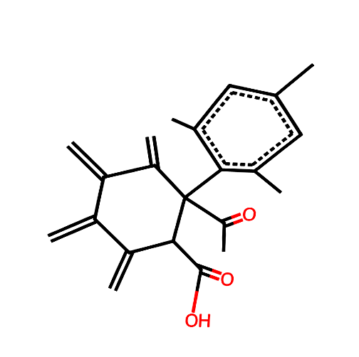 C=C1C(=C)C(=C)C(C(C)=O)(c2c(C)cc(C)cc2C)C(C(=O)O)C1=C